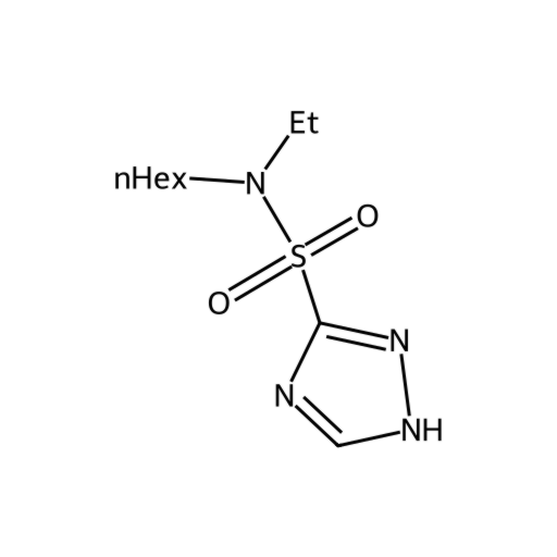 CCCCCCN(CC)S(=O)(=O)c1nc[nH]n1